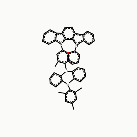 Cc1cc(C)c(B2c3ccccc3B(c3c(C)cc(-n4c5ccccc5c5ccc6c7ccccc7n(-c7ccccc7)c6c54)cc3C)c3ccccc32)c(C)c1